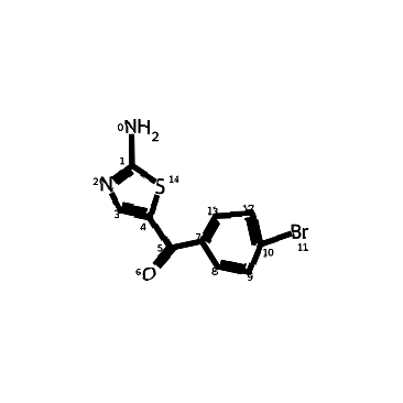 Nc1ncc(C(=O)c2ccc(Br)cc2)s1